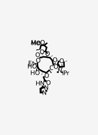 CC[C@H]1OC(=O)[C@H](C)[C@@H](OC2C[C@@](C)(OC)[C@@H](O)[C@H](C)O2)[C@H](C)[C@@H](O[C@H]2C[C@@H](N(C)C(C)C)C[C@@H](C)O2)[C@](C)(O)C[C@@H](C)[C@H](OCC(=O)Nc2ccncn2)[C@H](C)[C@@H](O)[C@]1(C)O